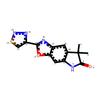 CC1(C)C(=O)Nc2cc3oc(-c4csnn4)nc3cc21